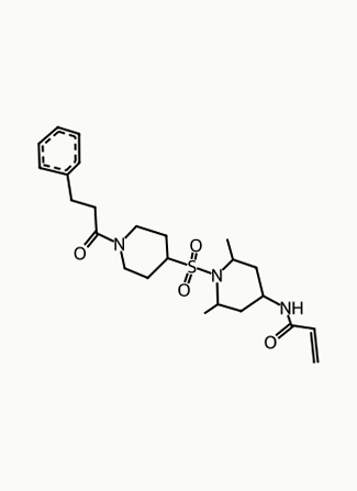 C=CC(=O)NC1CC(C)N(S(=O)(=O)C2CCN(C(=O)CCc3ccccc3)CC2)C(C)C1